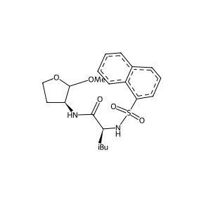 CCC(C)[C@H](NS(=O)(=O)c1cccc2ccccc12)C(=O)N[C@H]1CCOC1OC